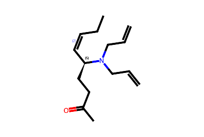 C=CCN(CC=C)[C@H](/C=C\CC)CCC(C)=O